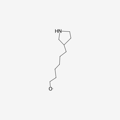 [O]CCCCCCC1CCNC1